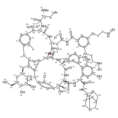 CCNCCOc1cc(OCCNCC)cc(C(=O)NC(=O)C[C@@H]2NC(=O)[C@H](NC(=O)[C@@H](CC(C)C)NC)[C@H](O)c3ccc(c(C)c3)Oc3cc4cc(c3O[C@@H]3O[C@H](CO)[C@@H](O)[C@H](O)[C@H]3O)Oc3ccc(cc3Cl)[C@@H](O)[C@@H]3NC(=O)[C@H](NC(=O)[C@@H]4NC2=O)c2ccc(O)c(c2)-c2c(O)cc(O)cc2[C@@H](C(=O)NC2C4CC5CC(C4)CC2C5)NC3=O)c1